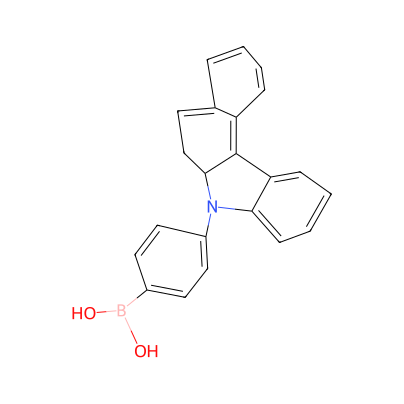 OB(O)c1ccc(N2c3ccccc3C3=c4ccccc4=CCC32)cc1